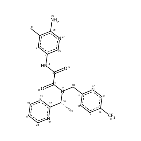 Cc1cc(NC(=O)C(=O)N(Cc2ccc(C(F)(F)F)cn2)[C@H](C)c2ncccn2)cnc1N